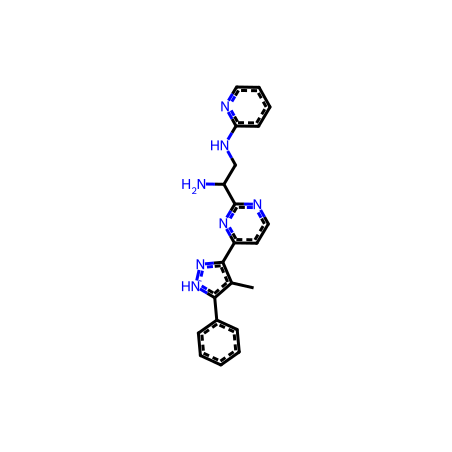 Cc1c(-c2ccnc(C(N)CNc3ccccn3)n2)n[nH]c1-c1ccccc1